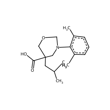 Cc1cccc(C)c1N1COCC(CC(C)C)(C(=O)O)C1